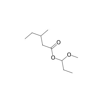 CCC(C)CC(=O)OC(CC)OC